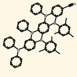 Cc1cc(C)c(B2c3cc(C#N)ccc3N(c3ccccc3)c3cc4c(cc32)B(c2c(C)cc(C)cc2C)c2ccc(N(c3ccccc3)c3ccccc3)cc2N4c2ccccc2)c(C)c1